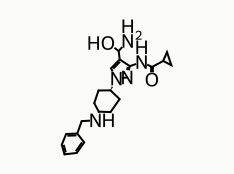 NC(O)c1cn([C@H]2CC[C@@H](NCc3ccccc3)CC2)nc1NC(=O)C1CC1